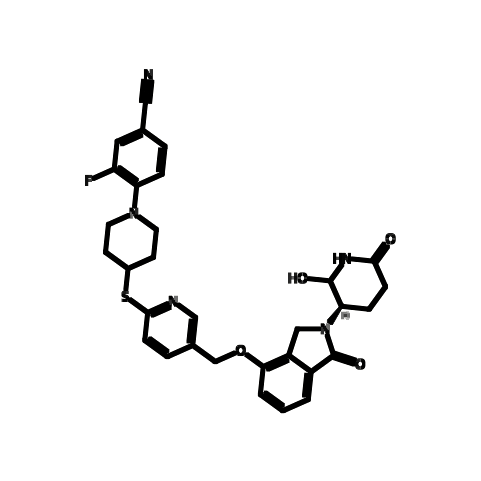 N#Cc1ccc(N2CCC(Sc3ccc(COc4cccc5c4CN([C@@H]4CCC(=O)NC4O)C5=O)cn3)CC2)c(F)c1